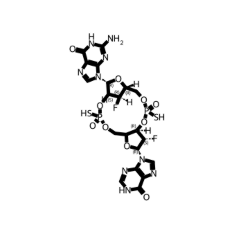 Nc1nc2c(ncn2[C@@H]2O[C@@H]3COP(=O)(S)O[C@@H]4C(COP(=O)(S)O[C@@H]2[C@@H]3F)O[C@@H](n2cnc3c(=O)[nH]cnc32)[C@H]4F)c(=O)[nH]1